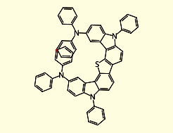 c1ccc(N(c2ccccc2)c2ccc3c(c2)c2c4sc5c(ccc6c5c5cc(N(c7ccccc7)c7ccccc7)ccc5n6-c5ccccc5)c4ccc2n3-c2ccccc2)cc1